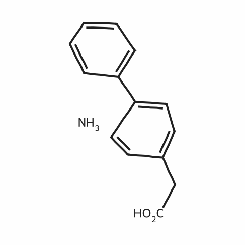 N.O=C(O)Cc1ccc(-c2ccccc2)cc1